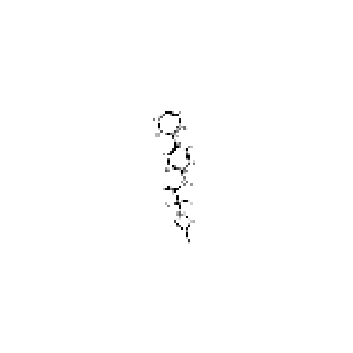 CC1ON(C(C)(C)C(=O)Oc2ccc(C3=CC=CCC3)cc2)O1